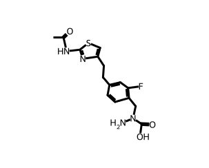 CC(=O)Nc1nc(CCc2ccc(CN(N)C(=O)O)c(F)c2)cs1